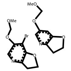 COCOc1cnc2c(c1)OCC2.COCOc1cnc2c(c1Br)OCC2